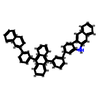 c1cc(-c2ccc3ccccc3c2)cc(-c2c3ccccc3c(-c3cccc(-c4ccc5c(c4)[nH]c4cc6ccccc6cc45)c3)c3ccccc23)c1